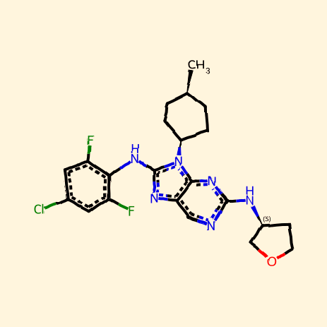 C[C@H]1CC[C@@H](n2c(Nc3c(F)cc(Cl)cc3F)nc3cnc(N[C@H]4CCOC4)nc32)CC1